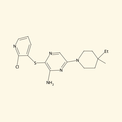 CCC1(C)CCN(c2cnc(Sc3cccnc3Cl)c(N)n2)CC1